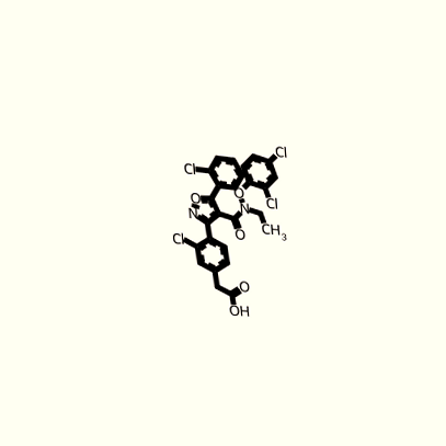 CCN(Oc1ccc(Cl)cc1Cl)C(=O)c1c(-c2ccc(CC(=O)O)cc2Cl)noc1-c1ccccc1Cl